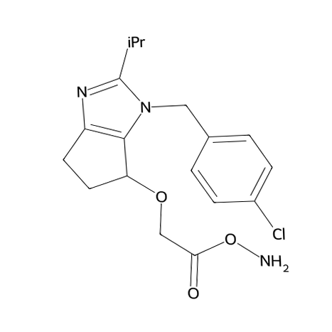 CC(C)c1nc2c(n1Cc1ccc(Cl)cc1)C(OCC(=O)ON)CC2